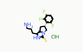 Cl.NCCCc1[nH]c(=S)n2c1C[C@H](c1c(F)ccc(F)c1F)C2